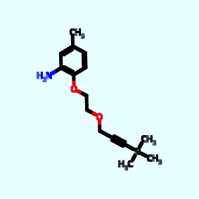 Cc1ccc(OCCOCC#C[Si](C)(C)C)c(N)c1